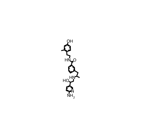 Cc1cc(O)ccc1CCNC(=O)c1cccc(CC(C)NCC(O)c2ccc(N)nc2)c1